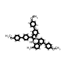 COc1ccc(-c2ccc(-c3c(Nc4ccccc4N)n(-c4ccc(-c5ccc(OC)cc5)cc4)c4ccc(-c5ccc(OC)cc5)cc34)cc2)cc1